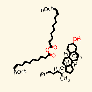 CC(C)CCCC(C)[C@H]1CC[C@H]2[C@@H]3CC=C4C[C@@H](O)CC[C@]4(C)[C@H]3CC[C@]12C.CCCCCCCC/C=C\CCCCCCCC(=O)OC(=O)CCCCCCC/C=C\CCCCCCCC